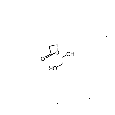 O=C1CCO1.OCCO